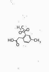 Cc1ccc(CC(=O)O)c(S(C)(=O)=O)c1